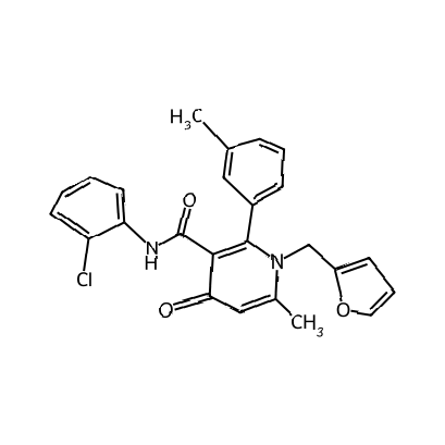 Cc1cccc(-c2c(C(=O)Nc3ccccc3Cl)c(=O)cc(C)n2Cc2ccco2)c1